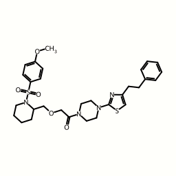 COc1ccc(S(=O)(=O)N2CCCCC2COCC(=O)N2CCN(c3nc(CCc4ccccc4)cs3)CC2)cc1